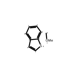 COC.c1ccc2sccc2c1